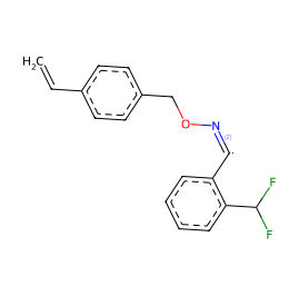 C=Cc1ccc(CO/N=[C]\c2ccccc2C(F)F)cc1